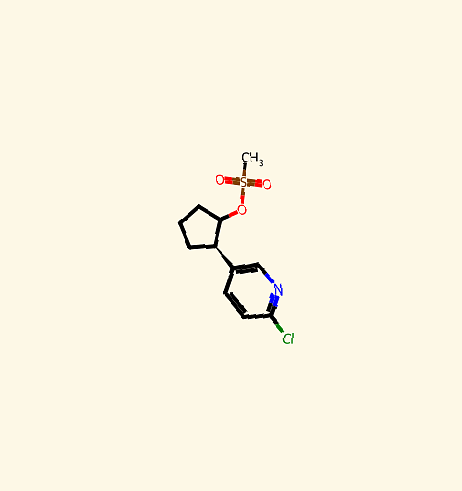 CS(=O)(=O)OC1CCC[C@@H]1c1ccc(Cl)nc1